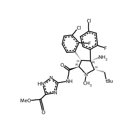 COC(=O)c1nc(NC(=O)[C@H]2[C@H](c3cccc(Cl)c3F)[C@@](N)(c3ccc(Cl)cc3F)[C@H](CC(C)(C)C)N2C)n[nH]1